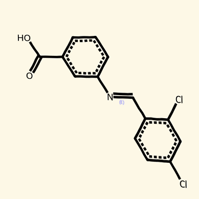 O=C(O)c1cccc(/N=C/c2ccc(Cl)cc2Cl)c1